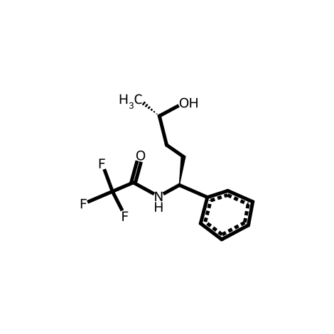 C[C@H](O)CC[C@H](NC(=O)C(F)(F)F)c1ccccc1